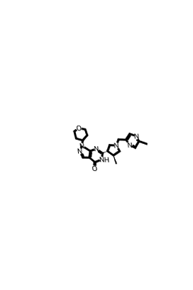 Cc1cnc(CN2C[C@@H](C)[C@H](c3nc4c(cnn4C4CCOCC4)c(=O)[nH]3)C2)cn1